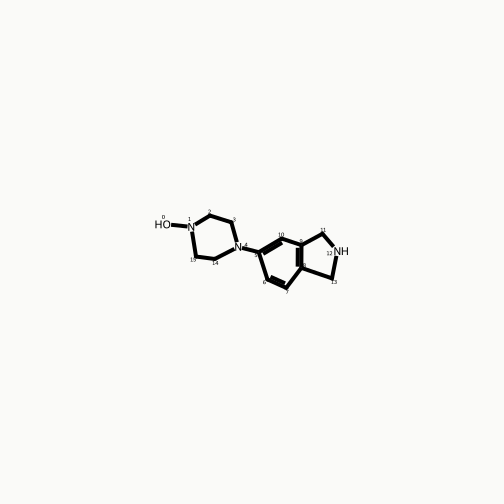 ON1CCN(c2ccc3c(c2)CNC3)CC1